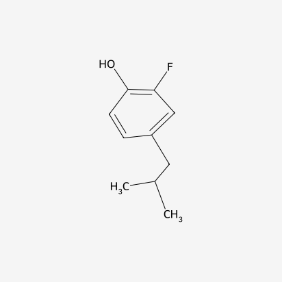 CC(C)Cc1ccc(O)c(F)c1